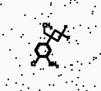 CCC1(c2ccc(Cl)c(N)c2)CC(F)(F)C1